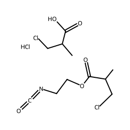 CC(CCl)C(=O)O.CC(CCl)C(=O)OCCN=C=O.Cl